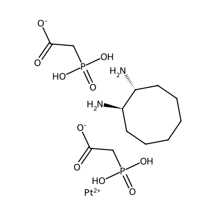 N[C@@H]1CCCCCC[C@H]1N.O=C([O-])CP(=O)(O)O.O=C([O-])CP(=O)(O)O.[Pt+2]